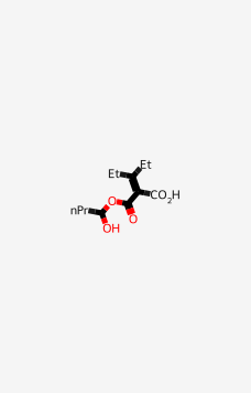 CCCC(O)OC(=O)C(C(=O)O)=C(CC)CC